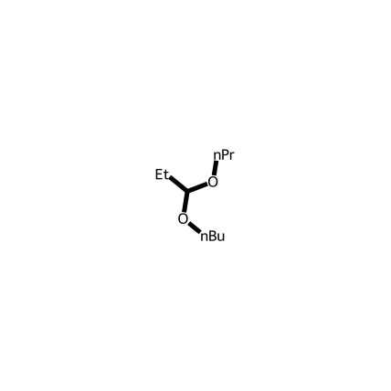 CCCCOC(CC)OCCC